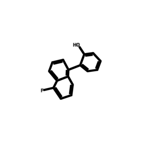 Oc1ccccc1-c1cccc2c(F)cccc12